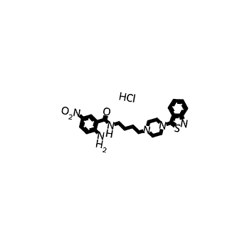 Cl.Nc1ccc([N+](=O)[O-])cc1C(=O)NCCCCN1CCN(c2snc3ccccc23)CC1